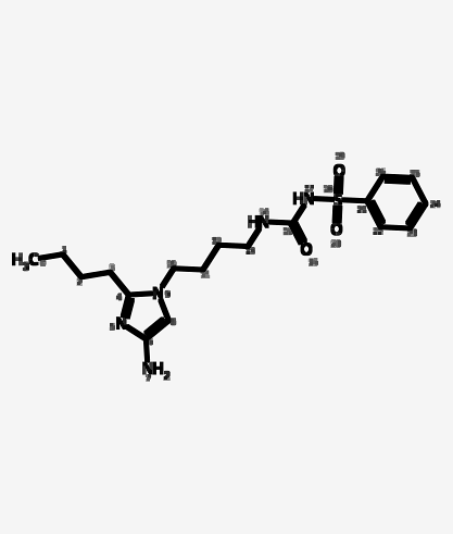 CCCCc1nc(N)cn1CCCCNC(=O)NS(=O)(=O)c1ccccc1